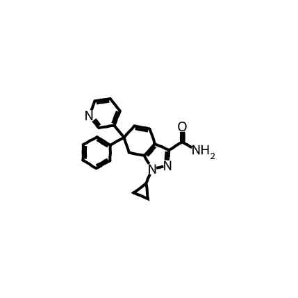 NC(=O)c1nn(C2CC2)c2c1C=CC(c1ccccc1)(c1cccnc1)C2